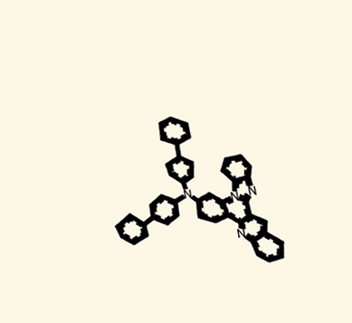 c1ccc(-c2ccc(N(c3ccc(-c4ccccc4)cc3)c3ccc4c5nc6ccccc6cc5c5nc6ccccc6n5c4c3)cc2)cc1